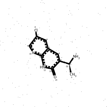 C[C@H](N)c1cc2cc(Cl)cnc2[nH]c1=O